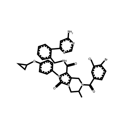 CC1Cn2c(c(C(=O)NCc3ccccc3-c3cc(N)ncn3)n(-c3ccc(OC4CC4)cc3)c2=O)CN1C(=O)c1ccc(Br)c(Cl)c1